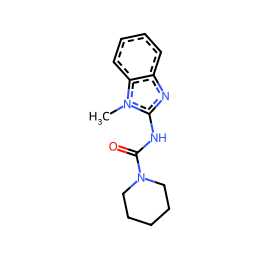 Cn1c(NC(=O)N2CCCCC2)nc2ccccc21